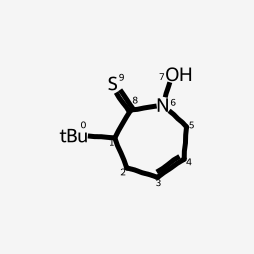 CC(C)(C)C1CC=CCN(O)C1=S